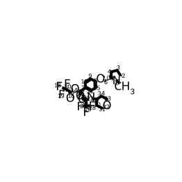 CN1CCC[C@H]1COc1ccc(C(=O)OC(=O)C(F)(F)F)c(N(C(=O)C(F)(F)F)C2CCOCC2)c1